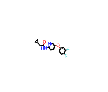 O=C(CC1CC1)Nc1ccc(Oc2ccc(F)c(F)c2)cn1